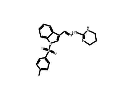 Cc1ccc(S(=O)(=O)n2cc(C=NNC3=NCCCN3)c3ccccc32)cc1